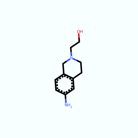 Nc1ccc2c(c1)CCN(CCO)C2